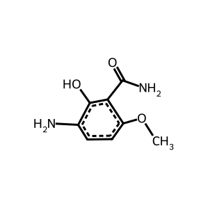 COc1ccc(N)c(O)c1C(N)=O